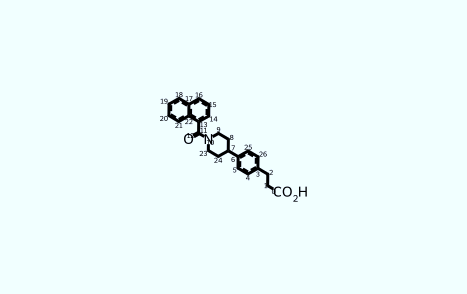 O=C(O)CCc1ccc(C2CCN(C(=O)c3cccc4ccccc34)CC2)cc1